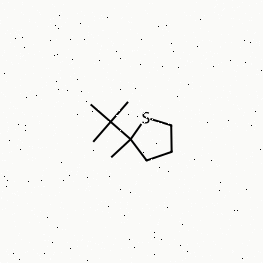 CC(C)(C)C1(C)CCCS1